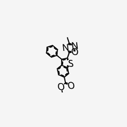 COC(=O)c1ccc2c(-c3ccccc3)c(-c3nc(C)no3)sc2c1